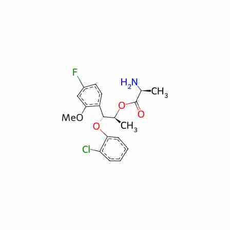 COc1cc(F)ccc1[C@@H](Oc1ccccc1Cl)[C@H](C)OC(=O)[C@H](C)N